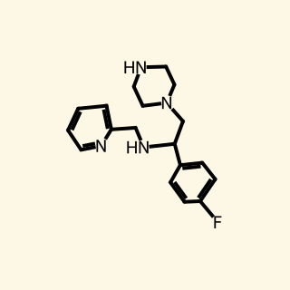 Fc1ccc(C(CN2CCNCC2)NCc2ccccn2)cc1